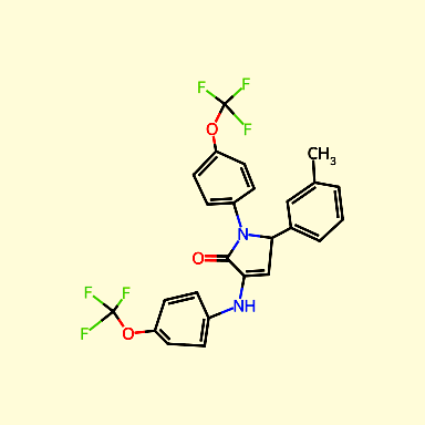 Cc1cccc(C2C=C(Nc3ccc(OC(F)(F)F)cc3)C(=O)N2c2ccc(OC(F)(F)F)cc2)c1